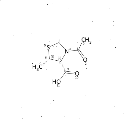 CC(=O)N1CS[C@@H](C)[C@H]1C(=O)O